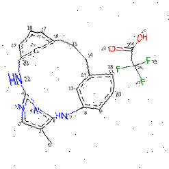 Cc1cnc2nc1Nc1cccc(c1)CCc1cccc(c1)N2.O=C(O)C(F)(F)F